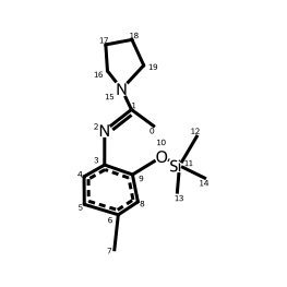 CC(=Nc1ccc(C)cc1O[Si](C)(C)C)N1CCCC1